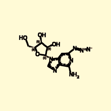 [N-]=[N+]=Nc1cc2c(ncn2[C@@H]2O[C@H](CO)[C@@H](O)[C@H]2O)c(N)n1